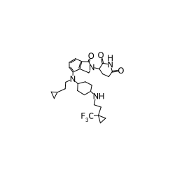 O=C1CCC(N2Cc3c(cccc3N(CCC3CC3)C3CCC(NCCC4(C(F)(F)F)CC4)CC3)C2=O)C(=O)N1